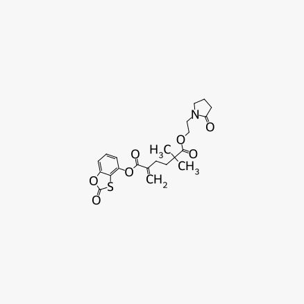 C=C(CCC(C)(C)C(=O)OCCN1CCCC1=O)C(=O)Oc1cccc2oc(=O)sc12